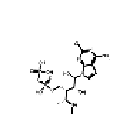 CN[C@H](C)[C@H](COP(=O)(O)OP(=O)(O)O)[C@@H](O)[C@@H](O)n1cnc2c(N)nc(Cl)nc21